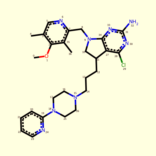 COc1c(C)cnc(CN2CC(CCCN3CCN(c4ccccn4)CC3)c3c(Cl)nc(N)nc32)c1C